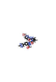 CC(=O)c1nn(CC(=O)N2[C@H]3[C@@H](C)[C@@]3(C)C[C@H]2C(=O)Nc2nc(Br)ccc2C)c2ccc(-c3cnc(C)nc3)cc12